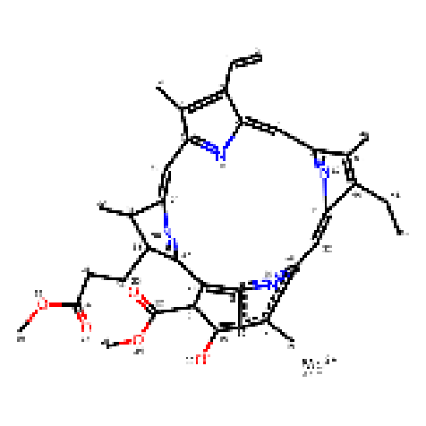 C=CC1=C(C)C2=NC1=CC1=NC(=Cc3[n-]c4c(c3C)=C([O-])C(C(=O)OC)C=4C3=NC(=C2)C(C)C3CCC(=O)OC)C(CC)=C1C.[Mg+2]